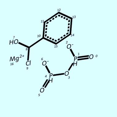 O=[PH]([O-])O[PH](=O)[O-].OC(Cl)c1ccccc1.[Mg+2]